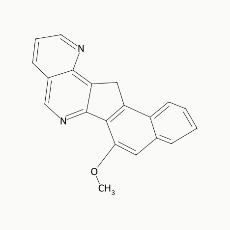 COc1cc2ccccc2c2c1-c1ncc3cccnc3c1C2